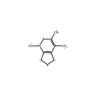 CC1=C(C#N)CN(O)C2=C1CCC2